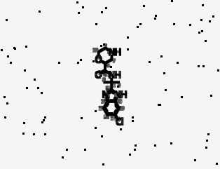 CC(C)(NC(=O)C1CNCCO1)c1nc2ccc(Cl)cc2[nH]1